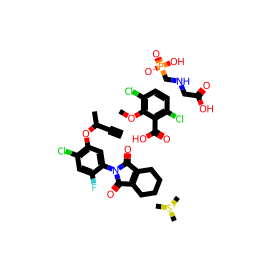 C#CC(C)Oc1cc(N2C(=O)C3=C(CCCC3)C2=O)c(F)cc1Cl.COc1c(Cl)ccc(Cl)c1C(=O)O.C[S+](C)C.O=C(O)CNCP(=O)([O-])O